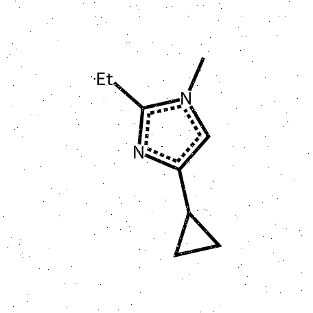 C[CH]c1nc(C2CC2)cn1C